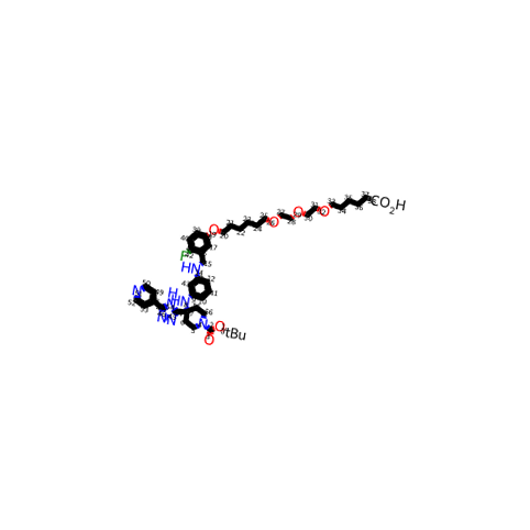 CC(C)(C)OC(=O)N1CCC(Nc2cccc(NCc3cc(OCCCCCCOCCOCCOCCCCCC(=O)O)ccc3F)c2)(c2nnc(-c3ccncc3)[nH]2)CC1